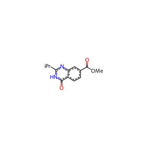 COC(=O)c1ccc2c(=O)[nH]c(C(C)C)nc2c1